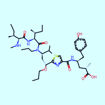 CCCO[C@H](C[C@H](C(C)C)N(CCC)C(=O)[C@@H](NC(=O)[C@@H](NC)[C@@H](C)CC)[C@@H](C)CC)c1nc(C(=O)N[C@@H](Cc2ccc(O)cc2)C[C@H](C)C(=O)O)cs1